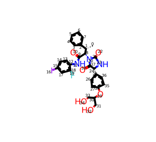 C[C@@H](c1ccccc1)[C@@H](C(=O)Nc1ccc(I)cc1F)N1C(=O)N[C@H](c2ccc(OC(CO)CO)cc2)C1=O